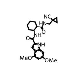 COc1cc(OC)c2cc(C(=O)N[C@H]3CCCC[C@H]3C(=O)NCC3(C#N)CC3)[nH]c2c1